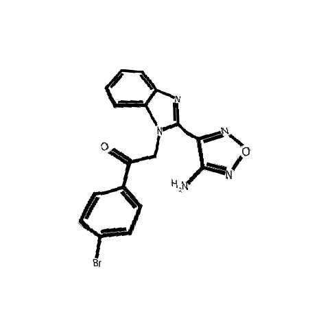 Nc1nonc1-c1nc2ccccc2n1CC(=O)c1ccc(Br)cc1